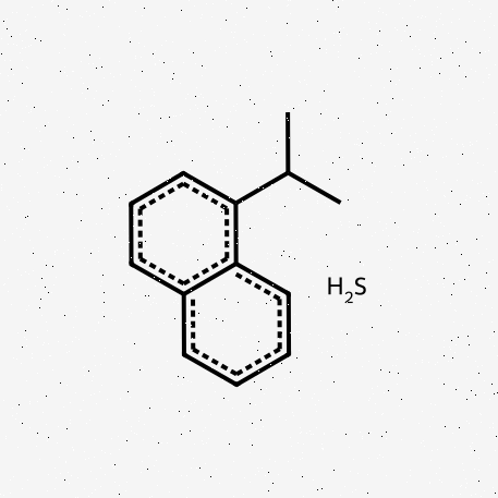 CC(C)c1cccc2ccccc12.S